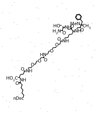 CCCCCCCCCCCCCCCC(=O)NC(CCC(=O)NCCOCCOCC(=O)NCCOCCOCC(=O)NCCCC[C@H](NCC(=O)[C@](C)(Cc1ccccc1)NC)C(=O)CN[C@@H](CO)C(N)=O)C(=O)O